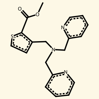 COC(=O)c1sccc1CN(Cc1ccccn1)Cc1ccccn1